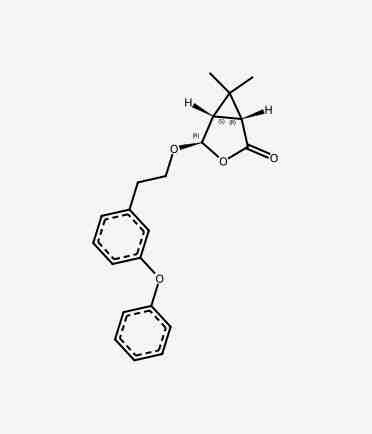 CC1(C)[C@H]2[C@H](OCCc3cccc(Oc4ccccc4)c3)OC(=O)[C@H]21